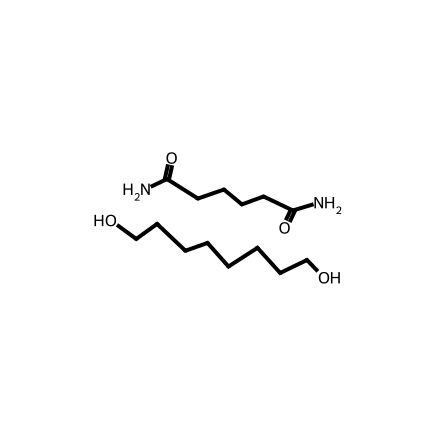 NC(=O)CCCCC(N)=O.OCCCCCCCCO